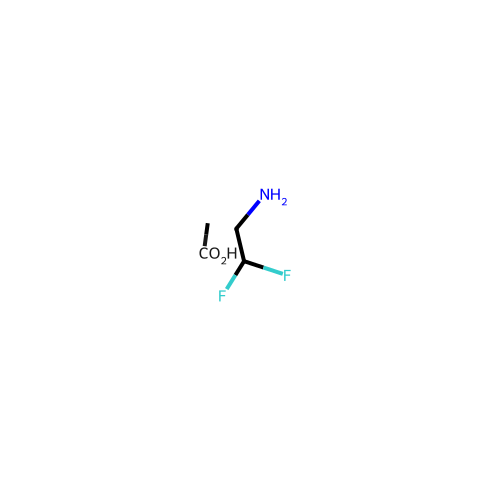 CC(=O)O.NCC(F)F